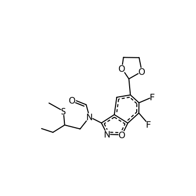 CCC(CN(C=O)c1noc2c(F)c(F)c(C3OCCO3)cc12)SC